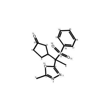 Cc1nnc(C(C)(C2CCC(=O)C2)S(=O)(=O)c2ccccc2)o1